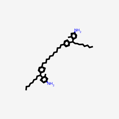 CCCCCCCCC(c1ccc(CCCCCCCCCCCc2ccc(C(CCCCCCCC)c3ccc(N)cc3C)cc2)cc1)c1ccc(N)cc1C